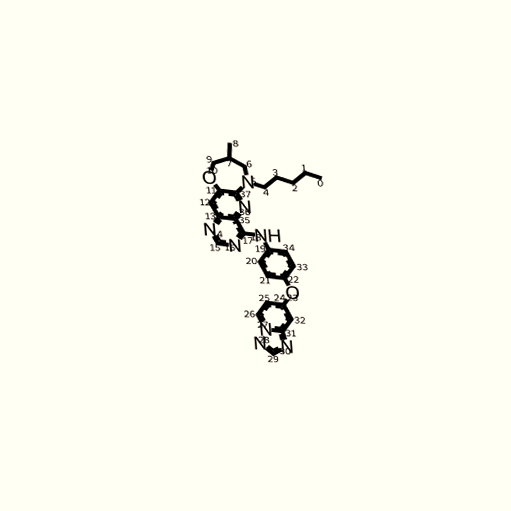 CCCCCN1CC(C)COc2cc3ncnc(Nc4ccc(Oc5ccn6ncnc6c5)cc4)c3nc21